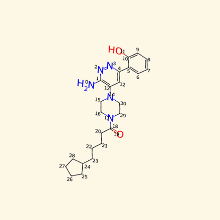 Nc1nnc(-c2ccccc2O)cc1N1CCN(C(=O)CCCCC2CCCC2)CC1